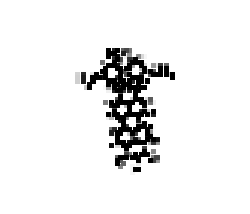 Cc1cc(C)cc([N+]2(c3cc(C)cc(C)c3)C(=O)c3ccc4c5ccc6c7c(ccc(c8ccc(c3c48)C2=O)c75)C(=O)NC6=O)c1